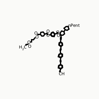 C#Cc1ccc(C#Cc2ccc(C#Cc3ccc(C#CC4(OC(=O)c5ccc(OC(=O)C6CCC(C(=O)OCCCCOC(=O)C=C)CC6)cc5)CCC(C5CCC(CCCCC)CC5)CC4)cc3)cc2)cc1